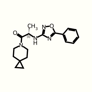 C[C@H](Nc1noc(-c2ccccc2)n1)C(=O)N1CCC2(CC1)CC2